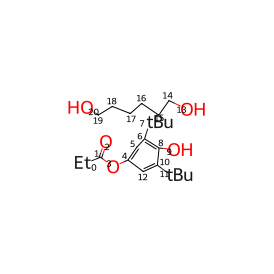 CCC(=O)Oc1cc(C(C)(C)C)c(O)c(C(C)(C)C)c1.OCCCCCCO